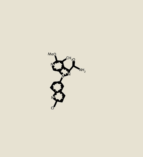 COc1ncc2c(c(C(N)=O)nn2-c2ccc3nc(Cl)ccc3c2)c1C